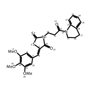 COc1cc(/C=C2\SC(=S)N(CCC(=O)N3CCCc4ccccc43)C2=O)cc(OC)c1OC